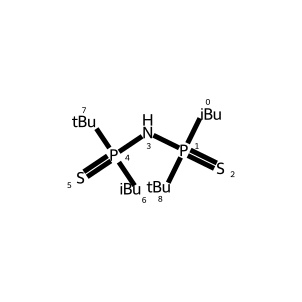 CCC(C)P(=S)(NP(=S)(C(C)CC)C(C)(C)C)C(C)(C)C